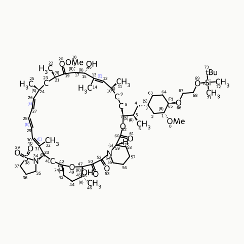 CO[C@@H]1C[C@H](C[C@@H](C)[C@@H]2CC[C@H](C)/C=C(\C)[C@@H](O)[C@@H](OC)C(=O)[C@H](C)C[C@H](C)/C=C/C=C/C=C(\C)[C@H](N3CCCS3(=O)=O)C[C@@H]3CC[C@@H](C)[C@@](O)(O3)C(=O)C(=O)N3CCCC[C@H]3C(=O)O2)CC[C@H]1OCCO[Si](C)(C)C(C)(C)C